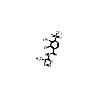 CCCc1c(S(C)(=O)=O)ccc(C(=S)Nc2nnnn2C)c1Cl